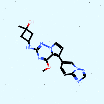 COc1nc(NC2CC(C)(O)C2)nn2ccc(-c3ccc4ncnn4c3)c12